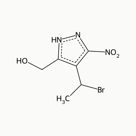 CC(Br)c1c([N+](=O)[O-])n[nH]c1CO